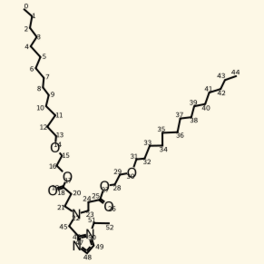 CCCCCCCCCCCCCCOCCOC(=O)CCN(CCC(=O)OCCOCCCCCCCCCCCCCC)Cc1nccn1CC